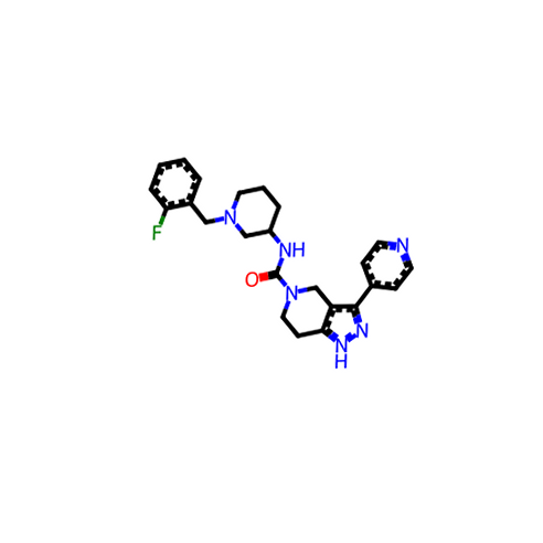 O=C(NC1CCCN(Cc2ccccc2F)C1)N1CCc2[nH]nc(-c3ccncc3)c2C1